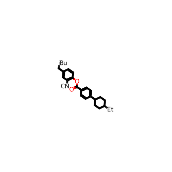 CCC(C)Cc1ccc(OC(=O)c2ccc(C3CCC(CC)CC3)cc2)c(C#N)c1